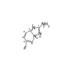 Nc1nc2ccc(F)cn2n1